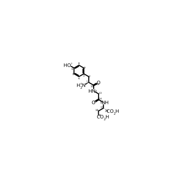 N[C@@H](Cc1ccc(O)cc1)C(=O)NCC(=O)N[C@@H](CC(=O)O)C(=O)O